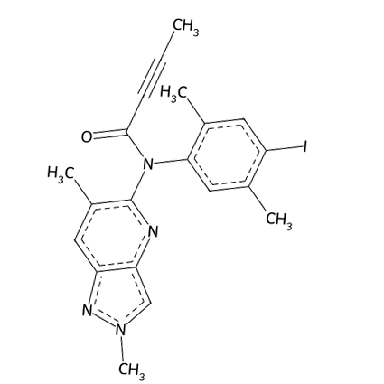 CC#CC(=O)N(c1cc(C)c(I)cc1C)c1nc2cn(C)nc2cc1C